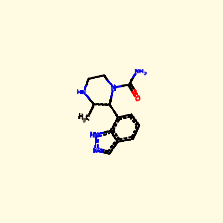 CC1NCCN(C(N)=O)C1c1cccc2cn[nH]c12